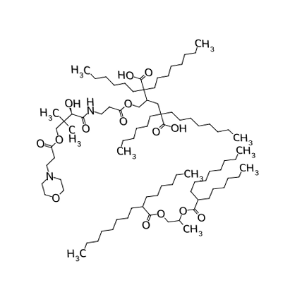 CCCCCCCCC(CCCCCC)(CC(COC(=O)CCNC(=O)[C@H](O)C(C)(C)COC(=O)CCN1CCOCC1)C(CCCCCC)(CCCCCCCC)C(=O)O)C(=O)O.CCCCCCCCC(CCCCCC)C(=O)OCC(C)OC(=O)C(CCCCCC)CCCCCCCC